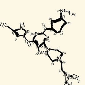 COc1c(Nc2cc(C)[nH]n2)nc(Sc2cccc(NC(C)=O)c2)nc1N1CCN(CCN(C)C)CC1